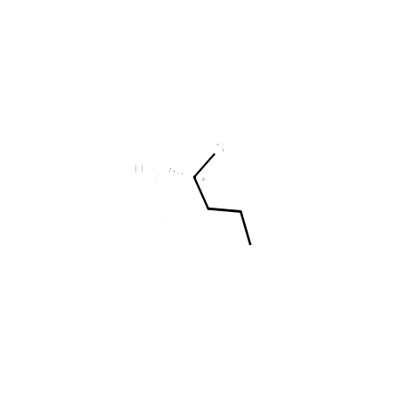 N[C@H](CCS)C(=O)O.O